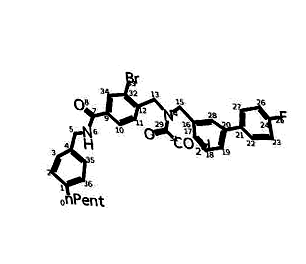 CCCCCc1ccc(CNC(=O)c2ccc(CN(Cc3cccc(-c4ccc(F)cc4)c3)C(=O)C(=O)O)c(Br)c2)cc1